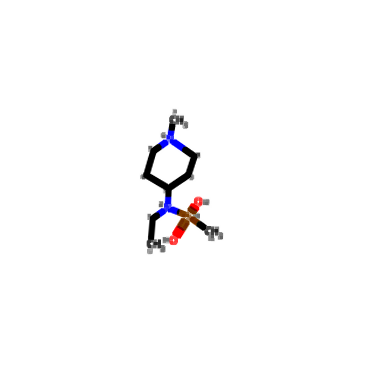 CCN(C1CCN(C)CC1)S(C)(=O)=O